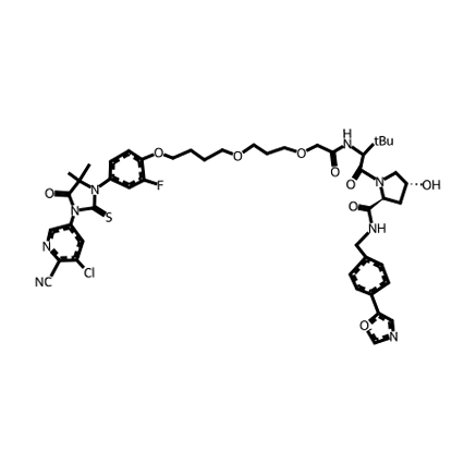 CC(C)(C)C(NC(=O)COCCCOCCCCOc1ccc(N2C(=S)N(c3cnc(C#N)c(Cl)c3)C(=O)C2(C)C)cc1F)C(=O)N1C[C@H](O)C[C@H]1C(=O)NCc1ccc(-c2cnco2)cc1